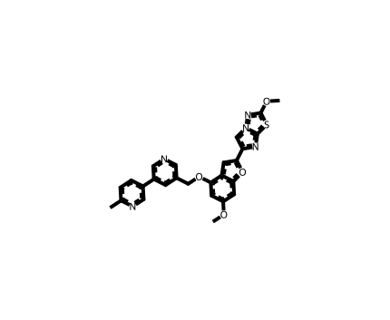 COc1cc(OCc2cncc(-c3ccc(C)nc3)c2)c2cc(-c3cn4nc(OC)sc4n3)oc2c1